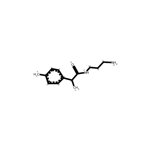 Cc1ccc(C(C)C(=O)NCCCN)cc1